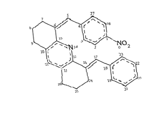 O=[N+]([O-])c1ccc(/C=C2/CCCc3cc4c(nc32)/C(=C/c2ccccc2)CCC4)cc1